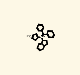 C1=CC[C]([Zr+2](=[C](c2ccccc2)c2ccccc2)[CH]2CCC3CC=CC=C32)=C1.[Cl-].[Cl-]